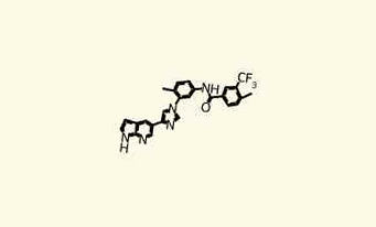 Cc1ccc(NC(=O)c2ccc(C)c(C(F)(F)F)c2)cc1-n1cnc(-c2cnc3[nH]ccc3c2)c1